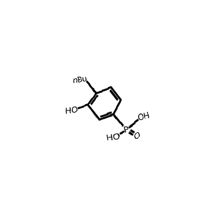 CCCCc1ccc(P(=O)(O)O)cc1O